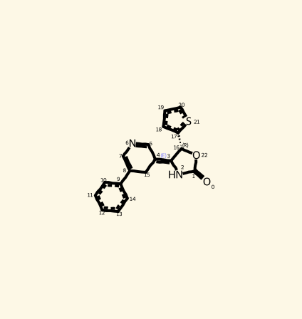 O=C1N/C(=C2/C=NC=C(c3ccccc3)C2)[C@H](c2cccs2)O1